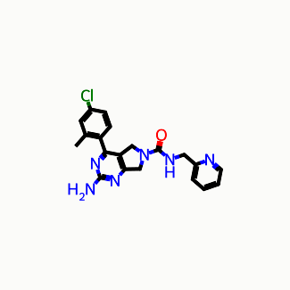 Cc1cc(Cl)ccc1-c1nc(N)nc2c1CN(C(=O)NCc1ccccn1)C2